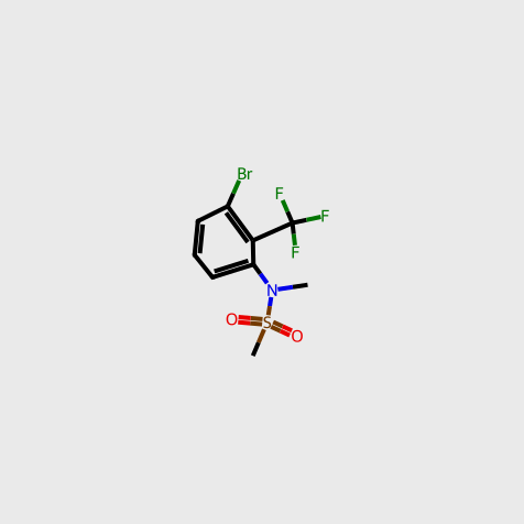 CN(c1cccc(Br)c1C(F)(F)F)S(C)(=O)=O